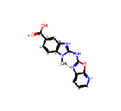 Cn1c(Nc2nc3cccnc3o2)nc2cc(C(=O)O)ccc21